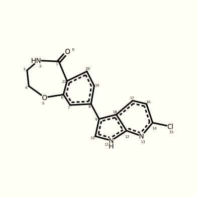 O=C1NCCOc2cc(-c3c[nH]c4nc(Cl)ccc34)ccc21